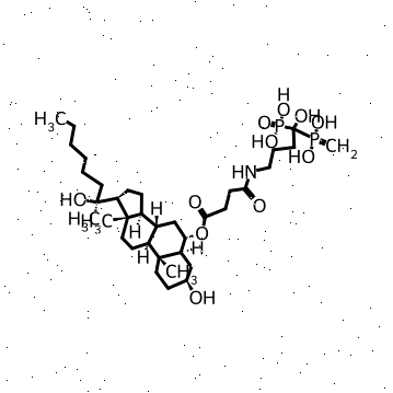 C=P(O)(O)C(O)(CCCNC(=O)CCC(=O)O[C@H]1C[C@@H]2[C@H](CC[C@@]3(C)[C@H]2CC[C@@H]3[C@@](C)(O)CCCCCC)[C@@]2(C)CC[C@H](O)C[C@H]12)P(=O)(O)O